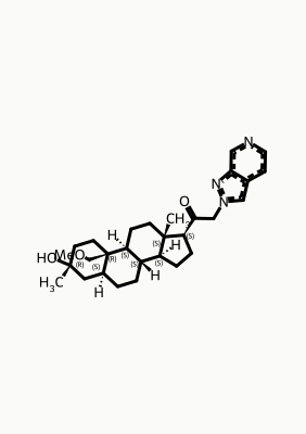 COC[C@]12CC[C@@](C)(O)C[C@@H]1CC[C@H]1[C@@H]3CC[C@H](C(=O)Cn4cc5ccncc5n4)[C@@]3(C)CC[C@@H]12